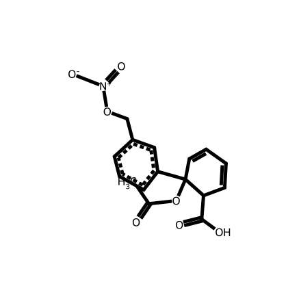 CC(=O)OC1(c2cccc(CO[N+](=O)[O-])c2)C=CC=CC1C(=O)O